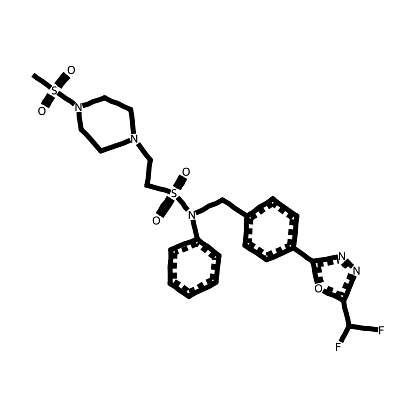 CS(=O)(=O)N1CCN(CCS(=O)(=O)N(Cc2ccc(-c3nnc(C(F)F)o3)cc2)c2ccccc2)CC1